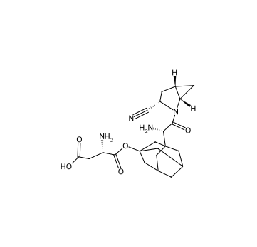 N#C[C@@H]1C[C@@H]2C[C@@H]2N1C(=O)[C@@H](N)C12CC3CC(CC(OC(=O)[C@@H](N)CC(=O)O)(C3)C1)C2